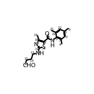 Cc1cc(C)c(NC(=O)c2sc(NCCCC=O)nc2C)c(C)c1